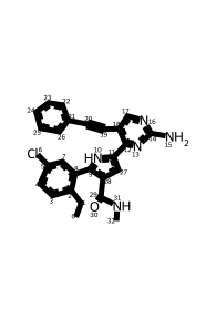 CCc1ccc(Cl)cc1-c1[nH]c(-c2nc(N)ncc2C#Cc2ccccc2)cc1C(=O)NC